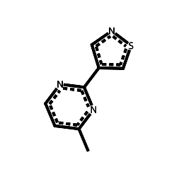 Cc1ccnc(-c2cnsc2)n1